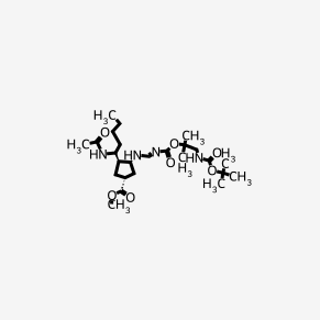 CCCCC(NC(C)=O)[C@@H]1C[C@@H](C(=O)OC)C[C@H]1N/C=N/C(=O)OC(C)(C)CNC(=O)OC(C)(C)C